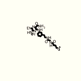 CCc1nc(C(N)=O)c(Nc2cccc(CCNC(=O)CNC(=O)/C=C/CN(C)C)c2)nc1NC(C)C